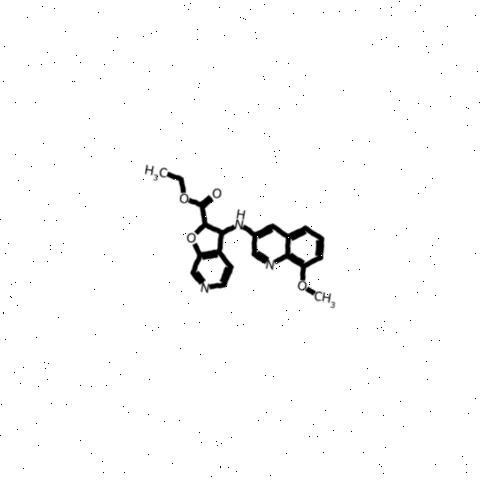 CCOC(=O)C1Oc2cnccc2C1Nc1cnc2c(OC)cccc2c1